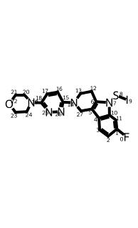 Fc1ccc2c3c(n(SI)c2c1)CCN(c1ccc(N2CCOCC2)nn1)C3